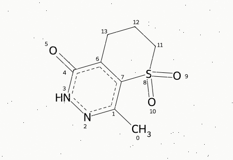 Cc1n[nH]c(=O)c2c1S(=O)(=O)CCC2